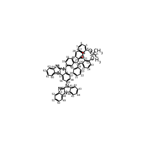 C[Si]1(C)Oc2ccccc2Oc2c(cccc2[Si](c2ccccc2)(c2ccccc2)c2cccc(-n3c4ccc(-n5c6ccccc6n6c7ccccc7nc56)cc4n4c5ccccc5nc34)c2)O1